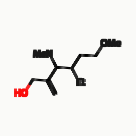 C=C(CO)C(NC)C(CC)CCOC